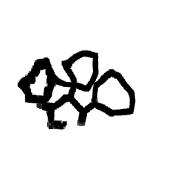 COC(=O)C(C(=O)N1CCCCC1)C1(c2[c]cccc2)CCCCC1